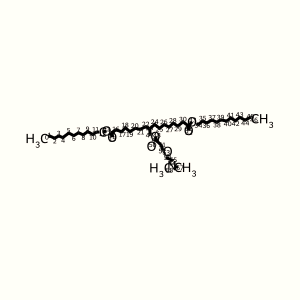 CCCCCCCCCCCCCOC(=O)CCCCCCCC(CCCCCCCC(=O)OCCCCCCCCCCCCC)COC(=O)CCOCCN(C)C